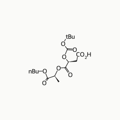 CCCCOC(=O)[C@H](C)OC(=O)[C@H](CC(=O)O)OC(=O)OC(C)(C)C